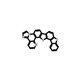 c1ccc2c(c1)sc1ccc3c4ccc5c(c6ncccc6c6nccn56)c4sc3c12